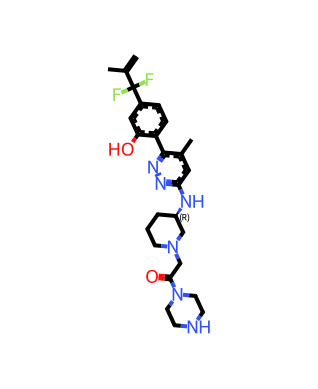 C=C(C)C(F)(F)c1ccc(-c2nnc(N[C@@H]3CCCN(CC(=O)N4CCNCC4)C3)cc2C)c(O)c1